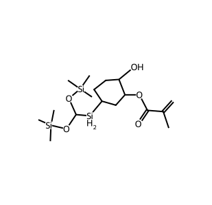 C=C(C)C(=O)OC1CC([SiH2]C(O[Si](C)(C)C)O[Si](C)(C)C)CCC1O